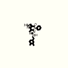 Cc1ccc(CCNc2ncc3c4n[nH]cc4c(=O)n(-c4ccccc4)c3n2)cc1C